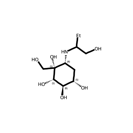 CCC(CO)N[C@@H]1C[C@H](O)[C@@H](O)[C@H](O)[C@@]1(O)CO